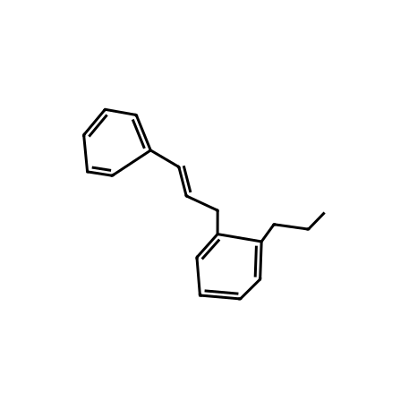 CCCc1ccccc1CC=Cc1ccccc1